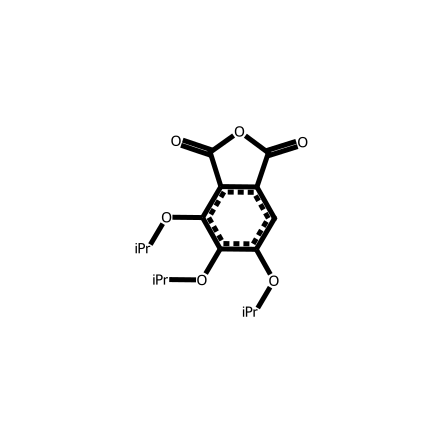 CC(C)Oc1cc2c(c(OC(C)C)c1OC(C)C)C(=O)OC2=O